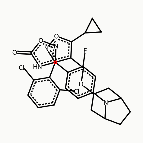 O=c1[nH]c(-c2ccc(N3C4CCC3CC(OCc3c(-c5c(Cl)cccc5Cl)noc3C3CC3)C4)cc2F)no1